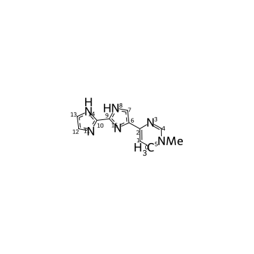 C/C=C(\N=C/NC)c1c[nH]c(-c2ncc[nH]2)n1